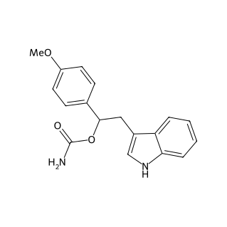 COc1ccc(C(Cc2c[nH]c3ccccc23)OC(N)=O)cc1